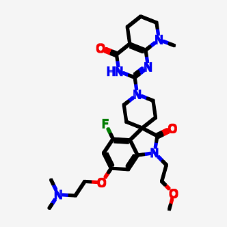 COCCN1C(=O)C2(CCN(c3nc4c(c(=O)[nH]3)CCCN4C)CC2)c2c(F)cc(OCCN(C)C)cc21